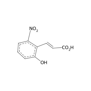 O=C(O)/C=C/c1c(O)cccc1[N+](=O)[O-]